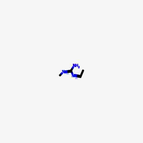 C/C=N\C(N)=N/C